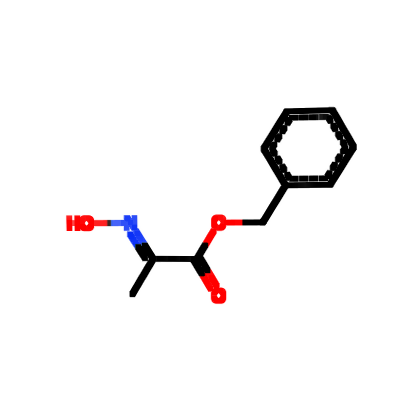 CC(=NO)C(=O)OCc1ccccc1